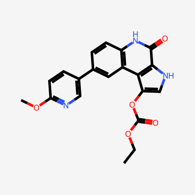 CCOC(=O)Oc1c[nH]c2c(=O)[nH]c3ccc(-c4ccc(OC)nc4)cc3c12